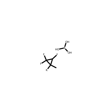 C[C]1([K])C(F)C1(F)F.OB(O)O